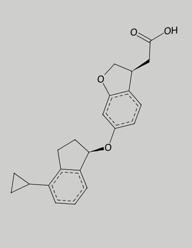 O=C(O)C[C@@H]1COc2cc(O[C@@H]3CCc4c(C5CC5)cccc43)ccc21